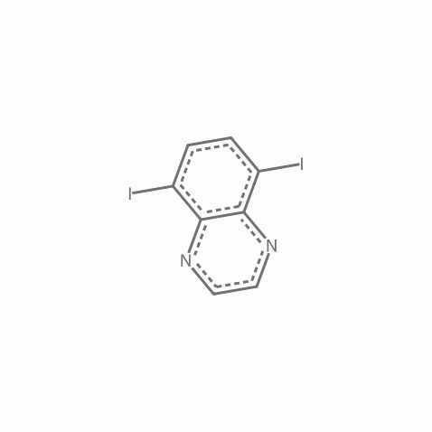 Ic1ccc(I)c2nccnc12